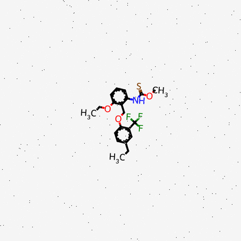 CCOc1cccc(NC(=S)OC)c1COc1ccc(CC)cc1C(F)(F)F